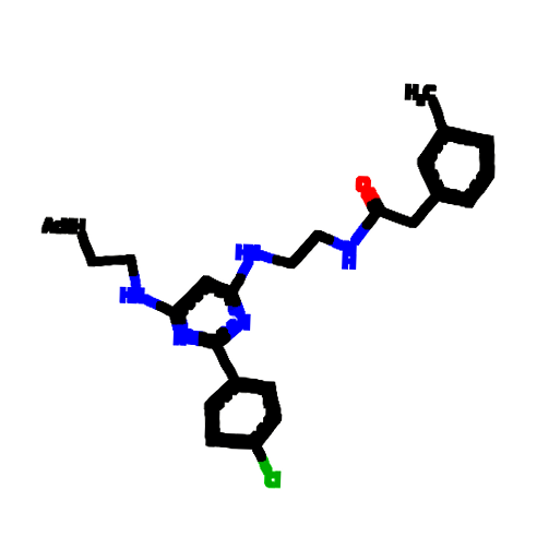 CC(=O)NCCNc1cc(NCCNC(=O)Cc2cccc(C)c2)nc(-c2ccc(Cl)cc2)n1